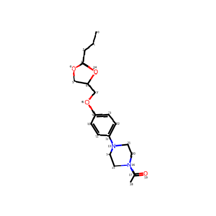 CCCC1OCC(COc2ccc(N3CCN(C(C)=O)CC3)cc2)O1